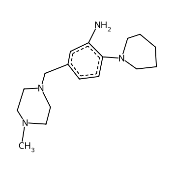 CN1CCN(Cc2ccc(N3CCCCC3)c(N)c2)CC1